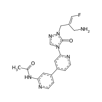 CC(=O)Nc1cc(-c2ccnc(-n3cnn(C/C(=C/F)CN)c3=O)c2)ccn1